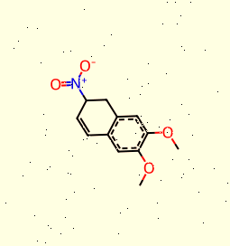 COc1cc2c(cc1OC)CC([N+](=O)[O-])C=C2